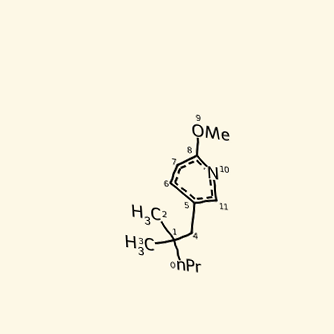 CCCC(C)(C)Cc1ccc(OC)nc1